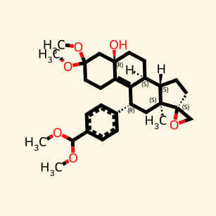 COC(OC)c1ccc([C@H]2C[C@@]3(C)[C@@H](CC[C@@]34CO4)[C@@H]3CC[C@@]4(O)CC(OC)(OC)CCC4=C32)cc1